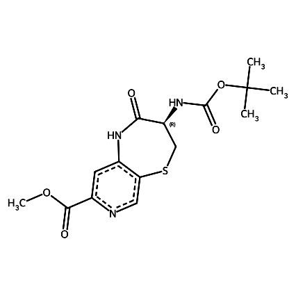 COC(=O)c1cc2c(cn1)SC[C@H](NC(=O)OC(C)(C)C)C(=O)N2